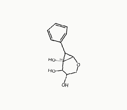 OC1COC2C(c3ccccc3)[C@]2(O)C1O